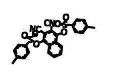 Cc1ccc(S(=O)(=O)Oc2c(C#N)c(C#N)c(OS(=O)(=O)c3ccc(C)cc3)c3ccccc23)cc1